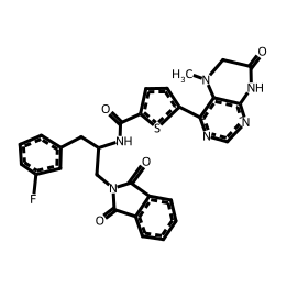 CN1CC(=O)Nc2ncnc(-c3ccc(C(=O)NC(Cc4cccc(F)c4)CN4C(=O)c5ccccc5C4=O)s3)c21